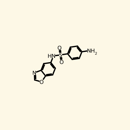 Nc1ccc(S(=O)(=O)Nc2ccc3ocnc3c2)cc1